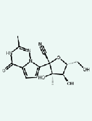 Cc1nn2c([C@]3(C#N)O[C@H](CO)[C@@H](O)[C@@]3(C)O)ccc2c(=O)[nH]1